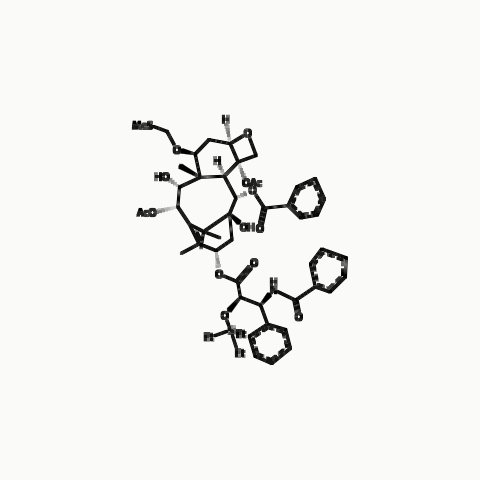 CC[Si](CC)(CC)O[C@@H](C(=O)O[C@H]1C[C@@]2(O)[C@@H](OC(=O)c3ccccc3)[C@@H]3[C@]4(OC(C)=O)CO[C@@H]4C[C@H](OCSC)[C@@]3(C)[C@@H](O)[C@@H](OC(C)=O)C(=C1C)C2(C)C)[C@@H](NC(=O)c1ccccc1)c1ccccc1